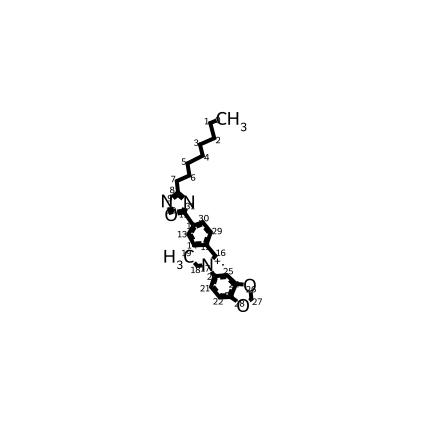 CCCCCCCCc1noc(-c2ccc(C[N+](CC)c3ccc4c(c3)OCO4)cc2)n1